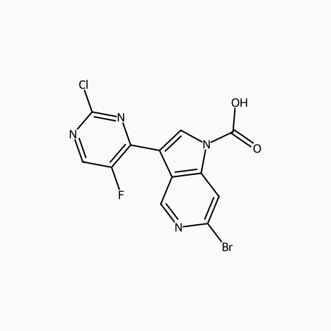 O=C(O)n1cc(-c2nc(Cl)ncc2F)c2cnc(Br)cc21